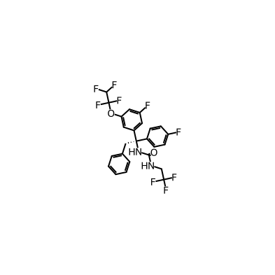 O=C(NCC(F)(F)F)N[C@](Cc1ccccc1)(c1ccc(F)cc1)c1cc(F)cc(OC(F)(F)C(F)F)c1